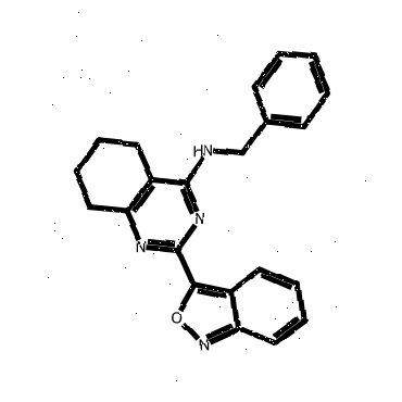 c1ccc(CNc2nc(-c3onc4ccccc34)nc3c2CCCC3)cc1